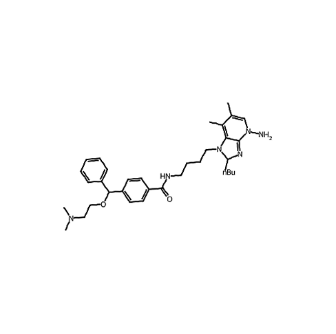 CCCCC1N=C2C(=C(C)C(C)=CN2N)N1CCCCNC(=O)c1ccc(C(OCCN(C)C)c2ccccc2)cc1